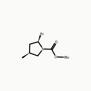 CC(=O)[C@@H]1C[C@H](C)CN1C(=O)OC(C)(C)C